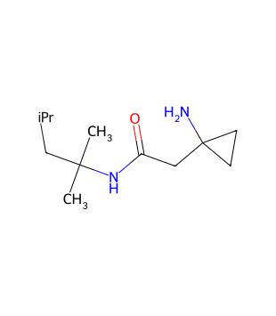 CC(C)CC(C)(C)NC(=O)CC1(N)CC1